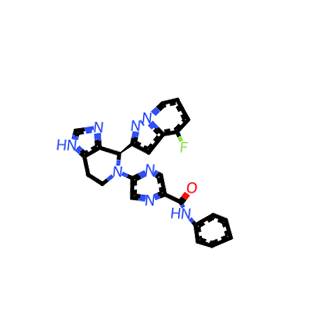 O=C(Nc1ccccc1)c1cnc(N2CCc3[nH]cnc3[C@H]2c2cc3c(F)cccn3n2)cn1